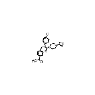 O=C(O)c1ccc(CN(C(=O)N2CCN(C3COC3)CC2)c2ccc(Cl)cc2)cc1